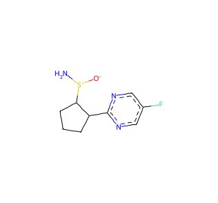 N[S+]([O-])C1CCCC1c1ncc(F)cn1